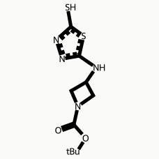 CC(C)(C)OC(=O)N1CC(Nc2nnc(S)s2)C1